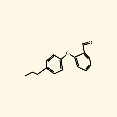 CCCc1ccc(Oc2ccccc2C=O)cc1